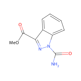 COC(=O)c1nn(C(N)=O)c2ccccc12